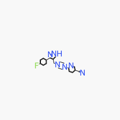 N#Cc1ccc(N2CCN(Cc3c[nH]nc3-c3ccc(F)cc3)CC2)nc1